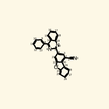 N#Cc1cc(-c2nc(-c3ccccc3)c3ccccc3n2)cc2oc3ccccc3c12